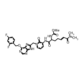 COC(=O)NC(CCC=CC(=O)N(C)C)C(=O)Nc1cccn(Cc2nc3c(OCc4ccc(F)cc4F)ncnc3[nH]2)c1=O